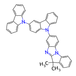 CC1(C)c2ccccc2-n2c1nc1cc(-n3c4ccccc4c4cc(-n5c6ccccc6c6ccccc65)ccc43)ccc12